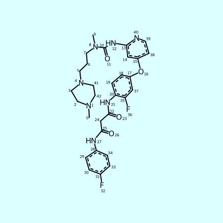 CN1CCN(CCCN(C)C(=O)Nc2cc(Oc3ccc(NC(=O)CC(=O)Nc4ccc(F)cc4)c(F)c3)ccn2)CC1